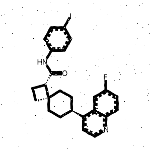 O=C(Nc1ccc(I)cc1)[C@H]1CC[C@]12CC[C@H](c1ccnc3ccc(F)cc31)CC2